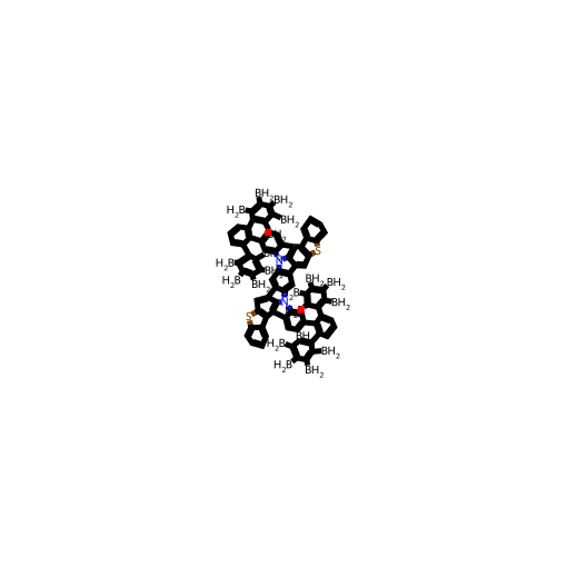 Bc1c(B)c(B)c(-c2cccc(-c3c(B)c(B)c(B)c(B)c3B)c2-c2ccc3c4c5c(cc6c7cc8c(cc7n(c3c2)c64)c2cc3sc4ccccc4c3c3c4ccc(-c6c(-c7c(B)c(B)c(B)c(B)c7B)cccc6-c6c(B)c(B)c(B)c(B)c6B)cc4n8c23)sc2ccccc25)c(B)c1B